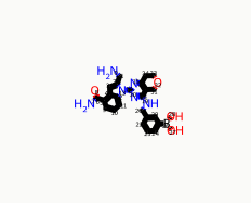 NCc1cc2c(C(N)=O)cccc2n1-c1nc2c(c(NCc3cccc(B(O)O)c3)n1)COCC2